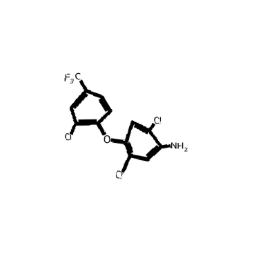 Nc1cc(Cl)c(Oc2ccc(C(F)(F)F)cc2Cl)cc1Cl